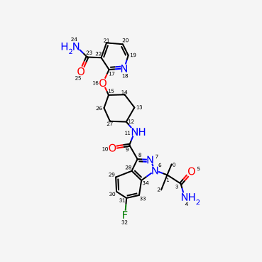 CC(C)(C(N)=O)n1nc(C(=O)NC2CCC(Oc3ncccc3C(N)=O)CC2)c2ccc(F)cc21